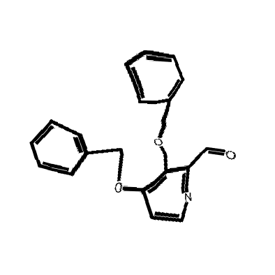 O=Cc1nccc(OCc2ccccc2)c1OCc1ccccc1